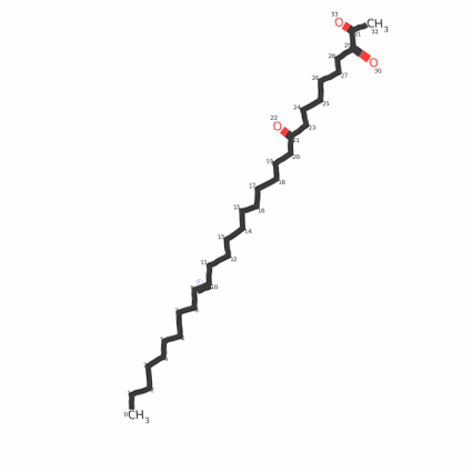 CCCCCCCCC/C=C/CCCCCCCCCCC(=O)CCCCCCC(=O)C(C)=O